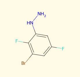 NNc1cc(F)cc(Br)c1F